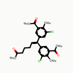 COC(=O)CCCC=C(c1cc(Cl)c(OC)c(C(=O)OC)c1)c1cc(Cl)c(OC)c(C(=O)OC)c1